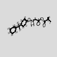 C=C(C)C(=O)OC(=O)CNOc1ccc(C(C)(C)c2ccccc2)cc1